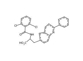 O=C(NC(Cc1ccc2nc(-c3ccccc3)ccc2c1)C(=O)O)c1c(Cl)cccc1Cl